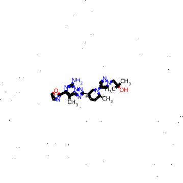 Cc1c(-c2ncco2)nc(N)n2nc([C@@H]3CC[C@H](C)N(c4cnn(CC(C)(C)O)c4)C3)nc12